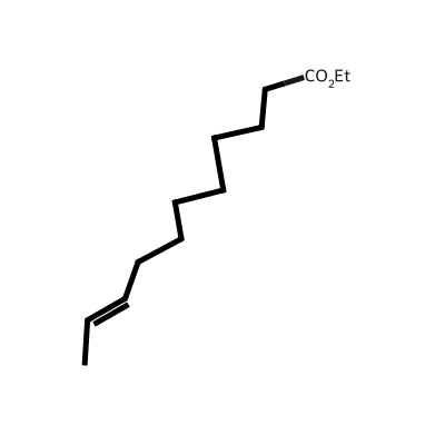 C/C=C/CCCCCCCC(=O)OCC